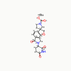 CC(C)(C)OC(=O)N1CCC2(COc3c2ccc2c3CN(C3CCC(=O)NC3=O)C2=O)C1